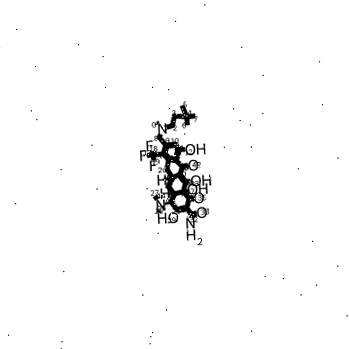 CN(CCC(C)(C)C)Cc1cc(O)c2c(c1C(F)(F)F)C[C@H]1C[C@H]3[C@H](N(C)C)C(O)=C(C(N)=O)C(=O)[C@@]3(O)C(O)=C1C2=O